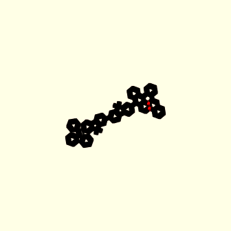 CC1(C)c2cc(-c3ccc4c(c3)C(C)(C)c3cc([Si](c5ccccc5)(c5ccccc5)c5ccccc5)ccc3-4)ccc2-c2ccc(-c3c4ccccc4c(-c4ccccc4-c4ccc5ccccc5c4)c4ccccc34)cc21